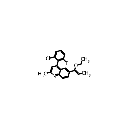 CC=C(OCC)c1ccc2nc(C)cc(-c3c(F)cccc3Cl)c2c1